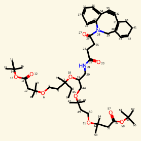 CCC(C)(CCOC(C)(C)CC(=O)OC(C)(C)C)OC(CNC(=O)CCC(=O)N1CC2=C(C#Cc3ccccc31)CCC=C2)COC(C)(C)CCOC(C)(C)CC(=O)OC(C)(C)C